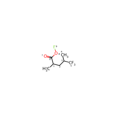 CC(CC(C)C(F)(F)F)C(=O)OF